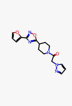 O=C(Cn1cccn1)N1CCC(c2nc(-c3ccco3)no2)CC1